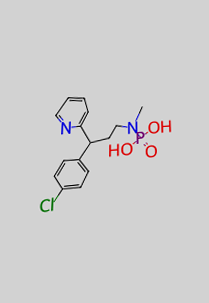 CN(CCC(c1ccc(Cl)cc1)c1ccccn1)P(=O)(O)O